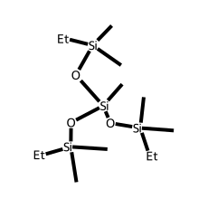 CC[Si](C)(C)O[Si](C)(O[Si](C)(C)CC)O[Si](C)(C)CC